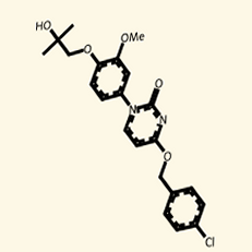 COc1cc(-n2ccc(OCc3ccc(Cl)cc3)nc2=O)ccc1OCC(C)(C)O